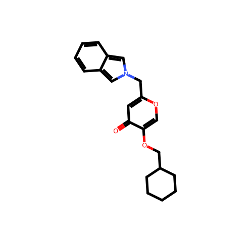 O=c1cc(Cn2cc3ccccc3c2)occ1OCC1CCCCC1